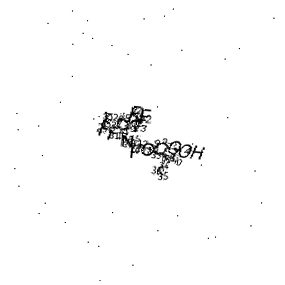 C[C@H](C(=O)O)[C@H](c1cccc(OCC2(F)CN(Cc3cc(C(F)(F)F)ccc3C(F)(F)F)C2)c1)C1CC1